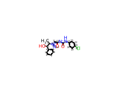 CC(C(O)c1ccccc1)[n+]1cc([N-]C(=O)Nc2ccc(Cl)cc2)on1